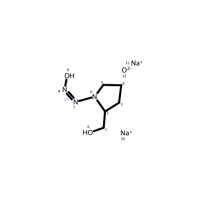 OCC1CCCN1/N=N\O.[Na+].[Na+].[O-2]